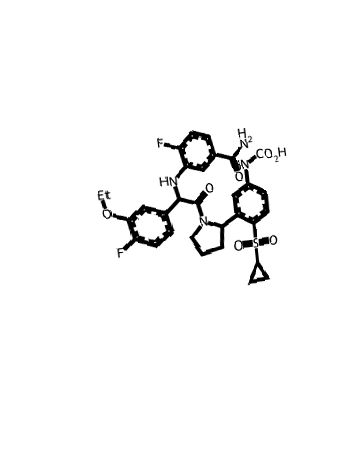 CCOc1cc(C(Nc2cc(C(N)=O)ccc2F)C(=O)N2CCCC2c2cc(NC(=O)O)ccc2S(=O)(=O)C2CC2)ccc1F